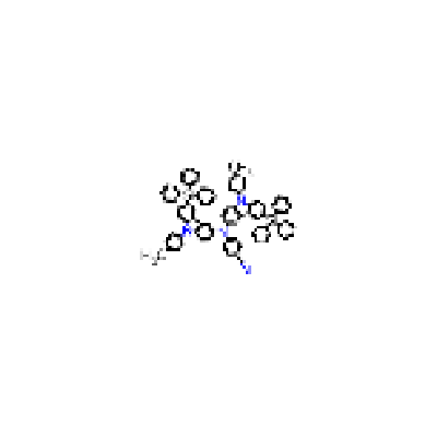 Cc1ccc(-n2c3ccc(N(c4ccc(C#N)cc4)c4ccc5c(c4)c4cc([Si](c6ccccc6)(c6ccccc6)c6ccccc6)ccc4n5-c4ccc(C)cc4)cc3c3cc([Si](c4ccccc4)(c4ccccc4)c4ccccc4)ccc32)cc1